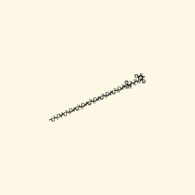 COCCOCCOCCOCCOCCOCCOCCOCCOCCOCCOCCOCCNC(=O)CCCCCN1C(=O)C=CC1=O